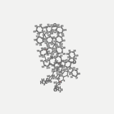 CCCCCCCC1(CCCCCCC)c2ccccc2-c2c1c1c(c3c2oc2ccccc23)-c2ccc(N(c3ccc4c(c3)C3(c5ccccc5-c5ccccc53)c3cc5c(cc3-4)C3(c4ccccc4-c4ccccc43)c3ccc4oc6ccccc6c4c3-5)c3c(-c4ccccc4)cccc3-c3ccccc3)cc2C1(CCCCCCC)CCCCCCC